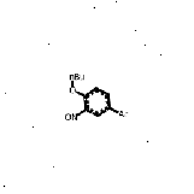 CCCCOc1ccc(C(C)=O)cc1N=O